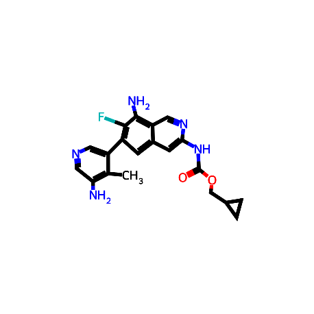 Cc1c(N)cncc1-c1cc2cc(NC(=O)OCC3CC3)ncc2c(N)c1F